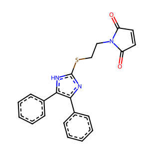 O=C1C=CC(=O)N1CCSc1nc(-c2ccccc2)c(-c2ccccc2)[nH]1